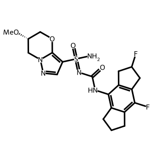 CO[C@@H]1COc2c(S(N)(=O)=NC(=O)Nc3c4c(c(F)c5c3CC(F)C5)CCC4)cnn2C1